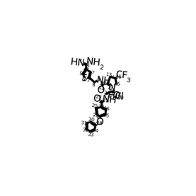 Cl.N=C(N)c1csc(CNC(=O)[C@@H]2C[C@H](C(F)(F)F)CN2C(=O)CNC(=O)c2ccc(Oc3ccccc3)cc2)c1